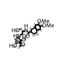 COc1cc2c(cc1OC)C[C@H](C(=O)N[C@@H](CO)C(=O)N[C@@H](CC(C)C)C(=O)[C@@]1(CO)CO1)CC2